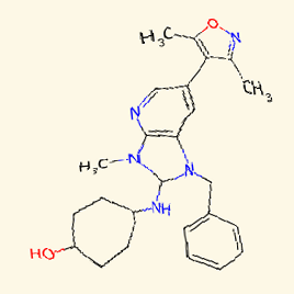 Cc1noc(C)c1-c1cnc2c(c1)N(Cc1ccccc1)C(NC1CCC(O)CC1)N2C